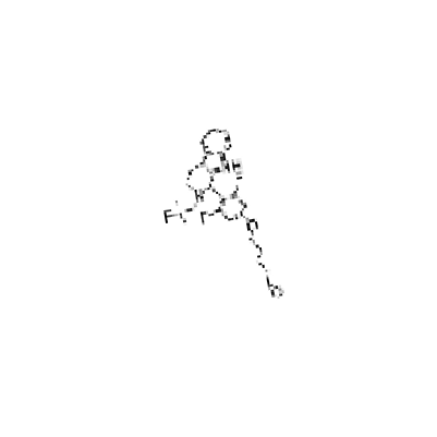 CC(C)(F)CN1CCc2c([nH]c3ccccc23)C1c1c(F)cc(OCCCCC=O)cc1F